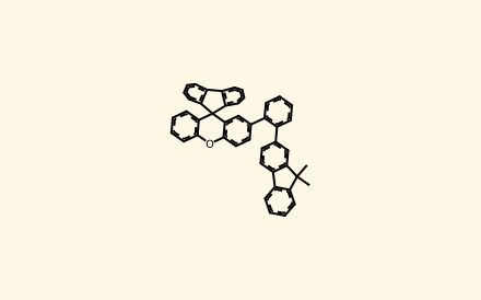 CC1(C)c2ccccc2-c2ccc(-c3ccccc3-c3ccc4c(c3)C3(c5ccccc5O4)c4ccccc4-c4ccccc43)cc21